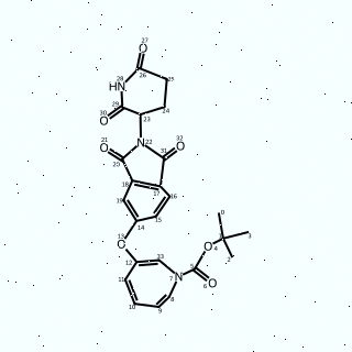 CC(C)(C)OC(=O)N1C=CC=CC(Oc2ccc3c(c2)C(=O)N(C2CCC(=O)NC2=O)C3=O)=C1